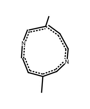 Cc1ccncc(C)ccnc1